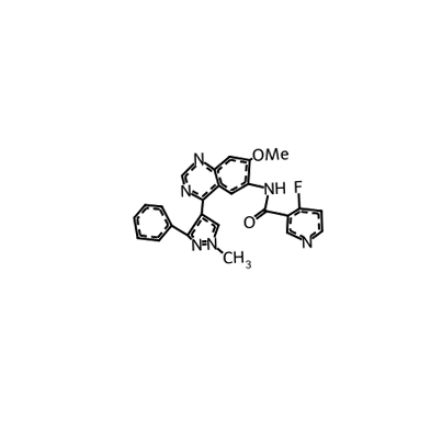 COc1cc2ncnc(-c3cn(C)nc3-c3ccccc3)c2cc1NC(=O)c1cnccc1F